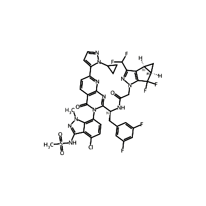 Cn1nc(NS(C)(=O)=O)c2c(Cl)ccc(-n3c([C@H](Cc4cc(F)cc(F)c4)NC(=O)Cn4nc(C(F)F)c5c4C(F)(F)[C@@H]4C[C@H]54)nc4nc(-c5ccnn5C5CC5)ccc4c3=O)c21